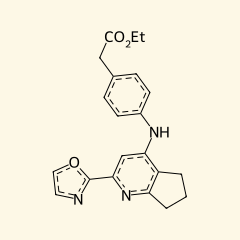 CCOC(=O)Cc1ccc(Nc2cc(-c3ncco3)nc3c2CCC3)cc1